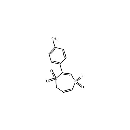 Cc1ccc(C2=CS(=O)(=O)C=CCS2(=O)=O)cc1